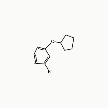 Brc1[c]ccc(OC2CCCC2)c1